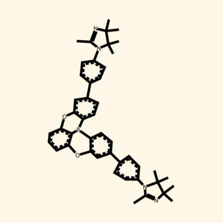 CC1=NC(C)(C)C(C)(C)N1c1ccc(-c2ccc3c(c2)Oc2cccc4c2B3c2ccc(-c3ccc(N5C(C)=NC(C)(C)C5(C)C)cc3)cc2O4)cc1